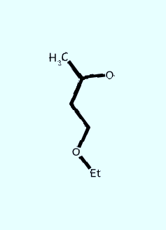 CCOCCC(C)[O]